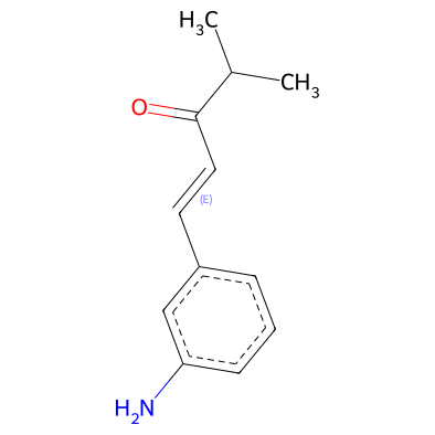 CC(C)C(=O)/C=C/c1cccc(N)c1